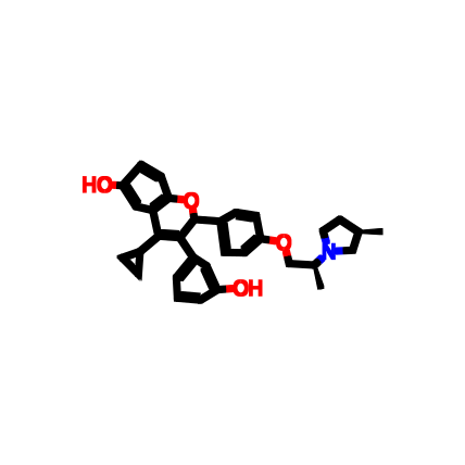 C[C@@H]1CCN([C@@H](C)COc2ccc(C3Oc4ccc(O)cc4C(C4CC4)=C3c3cccc(O)c3)cc2)C1